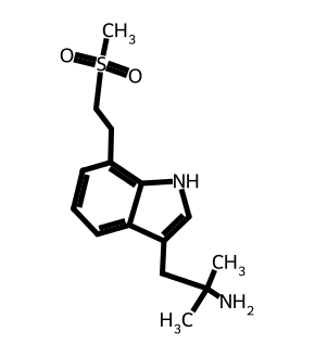 CC(C)(N)Cc1c[nH]c2c(CCS(C)(=O)=O)cccc12